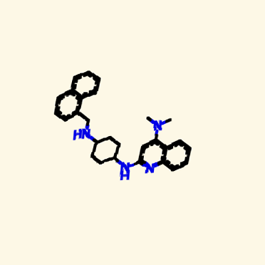 CN(C)c1cc(NC2CCC(NCc3cccc4ccccc34)CC2)nc2ccccc12